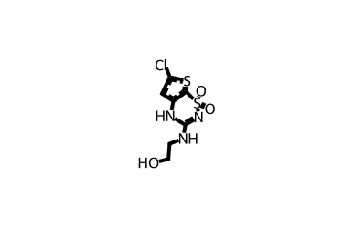 O=S1(=O)N=C(NCCO)Nc2cc(Cl)sc21